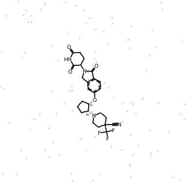 N#CC1(C(F)(F)F)CCN([C@@H]2CCC[C@@H]2Oc2ccc3c(c2)CN(C2CCC(=O)NC2=O)C3=O)CC1